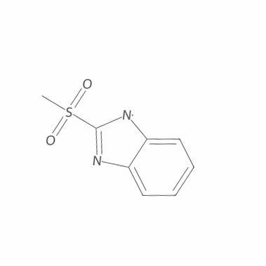 CS(=O)(=O)C1=Nc2ccccc2[N]1